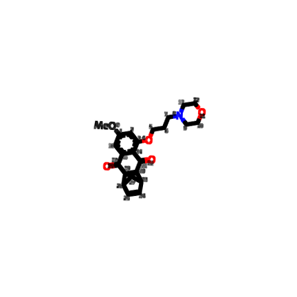 COc1cc(OCCCN2CCOCC2)c2c(c1)C(=O)C1=C(C2=O)C2C=CC1C2